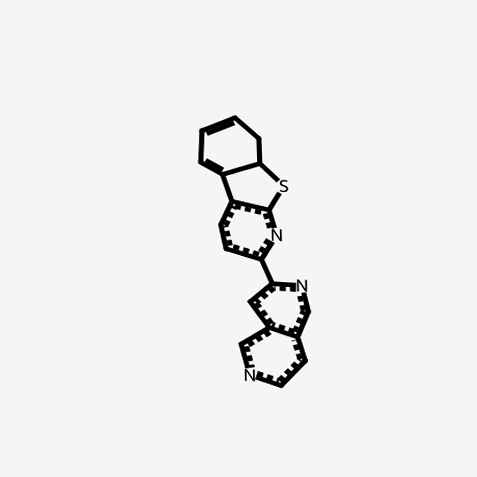 C1=CCC2Sc3nc(-c4cc5cnccc5cn4)ccc3C2=C1